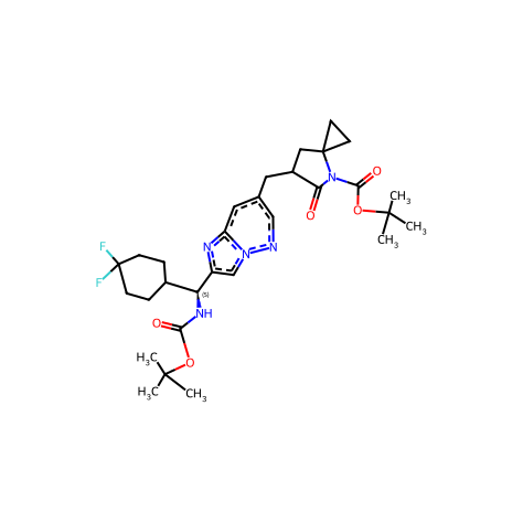 CC(C)(C)OC(=O)N[C@H](c1cn2ncc(CC3CC4(CC4)N(C(=O)OC(C)(C)C)C3=O)cc2n1)C1CCC(F)(F)CC1